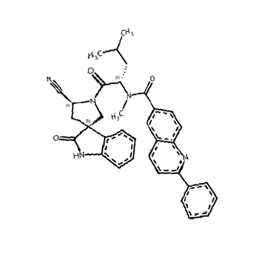 CC(C)C[C@@H](C(=O)N1C[C@]2(C[C@H]1C#N)C(=O)Nc1ccccc12)N(C)C(=O)c1ccc2nc(-c3ccccc3)ccc2c1